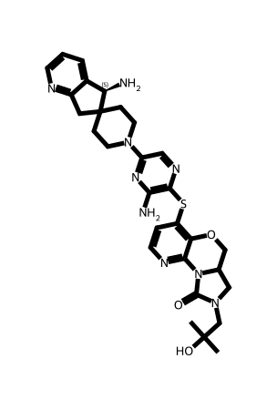 CC(C)(O)CN1CC2COc3c(Sc4ncc(N5CCC6(CC5)Cc5ncccc5[C@H]6N)nc4N)ccnc3N2C1=O